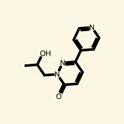 CC(O)Cn1nc(-c2ccncc2)ccc1=O